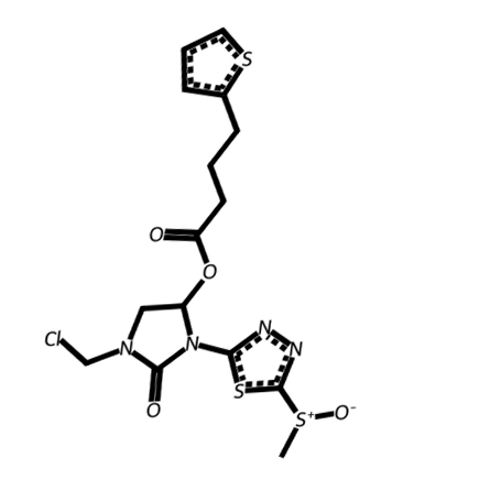 C[S+]([O-])c1nnc(N2C(=O)N(CCl)CC2OC(=O)CCCc2cccs2)s1